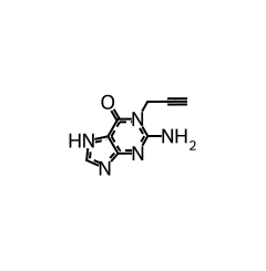 C#CCn1c(N)nc2nc[nH]c2c1=O